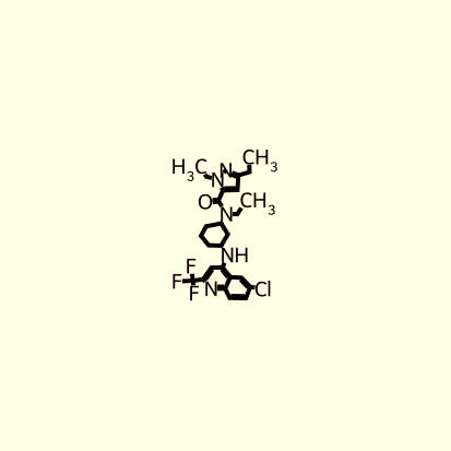 CCc1cc(C(=O)N(CC)[C@@H]2CCC[C@H](Nc3cc(C(F)(F)F)nc4ccc(Cl)cc34)C2)n(CC)n1